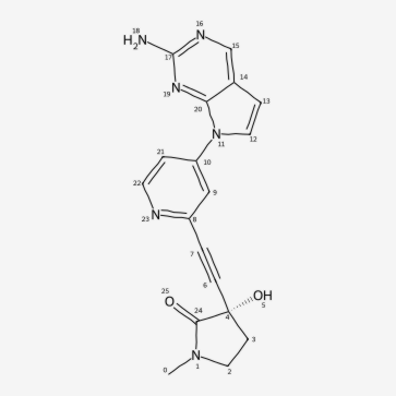 CN1CC[C@](O)(C#Cc2cc(-n3ccc4cnc(N)nc43)ccn2)C1=O